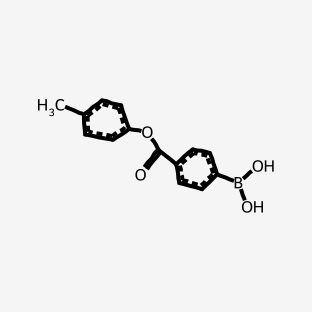 Cc1ccc(OC(=O)c2ccc(B(O)O)cc2)cc1